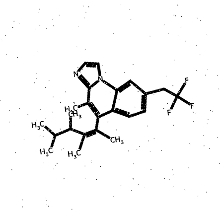 C/C(=C(\C)C(C)C(C)C)c1c(C)c2nccn2c2cc(CC(F)(F)F)ccc12